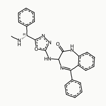 CN[C@H](c1ccccc1)c1nnc(NC2N=C(c3ccccc3)c3ccccc3NC2=O)o1